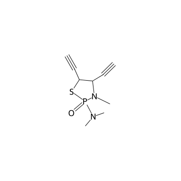 C#CC1SP(=O)(N(C)C)N(C)C1C#C